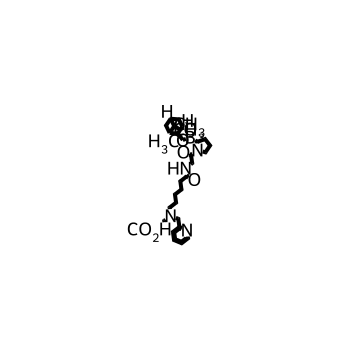 CC1(C)C2C[C@H]1C[C@H]1OB(C3CCCN3C(=O)CNC(=O)CCCCCN(CC(=O)O)Cc3ccccn3)O[C@@]21C